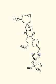 C/C=C(\C=C/CO[Si](C)(C)C(C)(C)C)CN1CCN(C(=O)C(CCC(=O)O)NC(=O)CC2(C)CC(C)CC3CC3C2)CC1